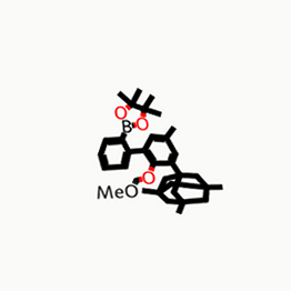 COCOc1c(-c2ccccc2B2OC(C)(C)C(C)(C)O2)cc(C)cc1C12CC3(C)CC(C)(CC(C)(C3)C1)C2